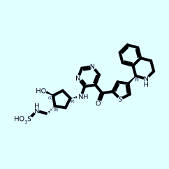 O=C(c1cc([C@@H]2NCCc3ccccc32)cs1)c1cncnc1N[C@@H]1C[C@H](CNS(=O)(=O)O)[C@@H](O)C1